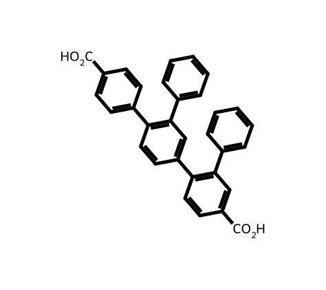 O=C(O)c1ccc(-c2ccc(-c3ccc(C(=O)O)cc3-c3ccccc3)cc2-c2ccccc2)cc1